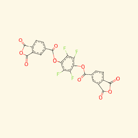 O=C(Oc1c(F)c(F)c(OC(=O)c2ccc3c(c2)C(=O)OC3=O)c(F)c1F)c1ccc2c(c1)C(=O)OC2=O